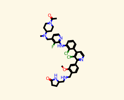 COc1cc(-c2nccc(-c3cccc(Nc4nccc(CN(C)C5CCN(C(C)=O)CC5)c4F)c3Cl)c2Cl)ccc1CNCC1CCC(=O)N1